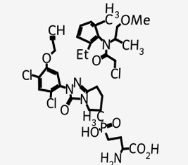 C#CCOc1cc(-n2nc3n(c2=O)CCCC3)c(Cl)cc1Cl.CCc1cccc(C)c1N(C(=O)CCl)C(C)COC.CP(=O)(O)CCC(N)C(=O)O